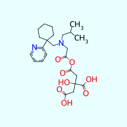 CC(C)CN(CC(=O)OC(=O)CC(O)(CC(=O)O)C(=O)O)CC1(c2ccccn2)CCCCC1